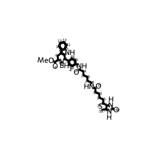 BN1C(C(=O)OC)Cc2c([nH]c3ccccc23)C1c1ccc(NC(=O)CCCCCNC(=O)CCCCC2SCC3NC(=O)NC32)cc1